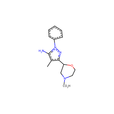 Cc1c(C2CN(C(=O)O)CCO2)nn(-c2ccccc2)c1N